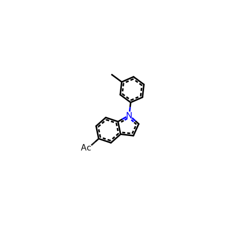 CC(=O)c1ccc2c(ccn2-c2cccc(C)c2)c1